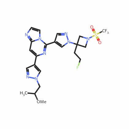 COC(C)Cn1cc(-c2cc3nccn3c(-c3cnn(C4(CCF)CN(S(=O)(=O)C(F)(F)F)C4)c3)n2)cn1